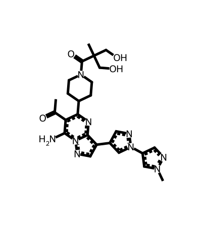 CC(=O)c1c(C2CCN(C(=O)C(C)(CO)CO)CC2)nc2c(-c3cnn(-c4cnn(C)c4)c3)cnn2c1N